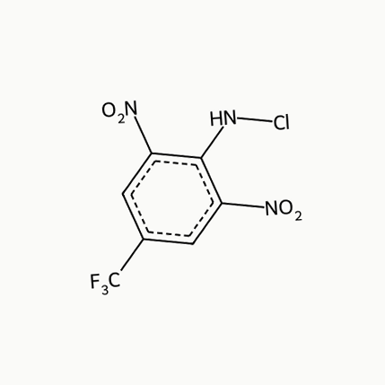 O=[N+]([O-])c1cc(C(F)(F)F)cc([N+](=O)[O-])c1NCl